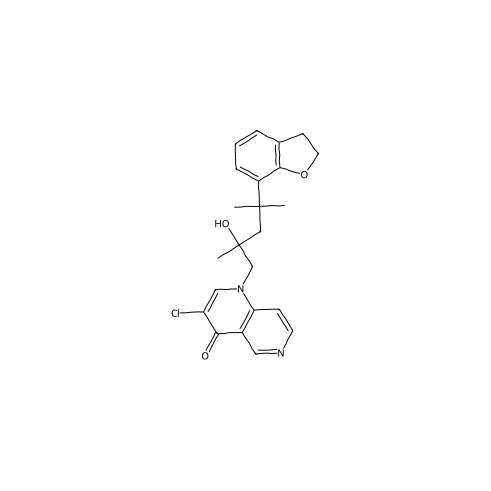 CC(O)(Cn1cc(Cl)c(=O)c2cnccc21)CC(C)(C)c1cccc2c1OCC2